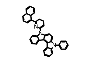 C1=CC2C=CC=C(C3=NC(n4c5ccccc5c5c6c7ccccc7n(-c7ccccc7)c6ccc54)=CCC3)C2C=C1